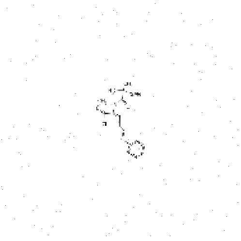 C/N=C(Cl)\C(=C/C/C=C/c1cccnc1)NC(=O)C(C)(C)SC